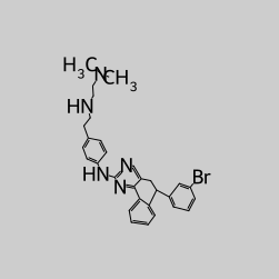 CN(C)CCNCCc1ccc(Nc2ncc3c(n2)-c2ccccc2C(c2cccc(Br)c2)C3)cc1